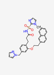 Cn1ccnc1S(=O)(=O)NC(=O)CCc1ccc(Cn2cccn2)cc1OCCc1ccc2ccccc2c1